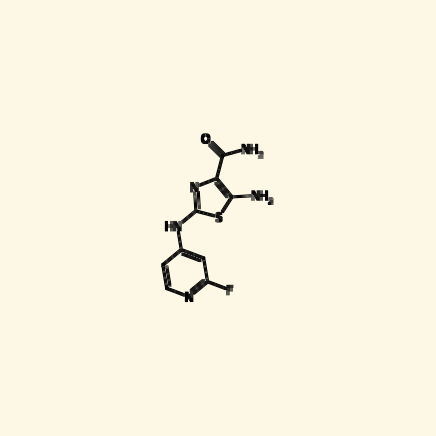 NC(=O)c1nc(Nc2ccnc(F)c2)sc1N